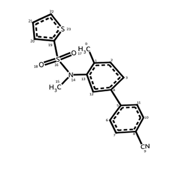 Cc1ccc(-c2ccc(C#N)cc2)cc1N(C)S(=O)(=O)c1cccs1